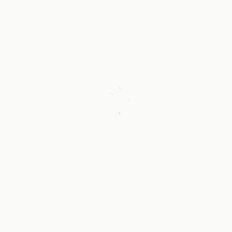 Cc1cccc(SCc2cc(=O)n3nc(-c4ccccc4)nc3[nH]2)c1C1CCC1